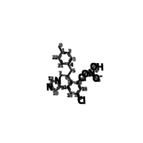 Cc1ccc(CC(Cn2ccnc2)c2ccc(Cl)cc2Cl)cc1.O=[N+]([O-])O